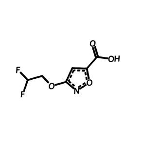 O=C(O)c1cc(OCC(F)F)no1